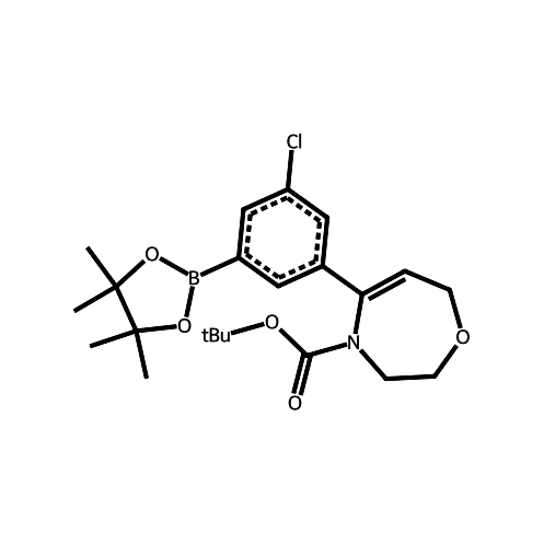 CC(C)(C)OC(=O)N1CCOCC=C1c1cc(Cl)cc(B2OC(C)(C)C(C)(C)O2)c1